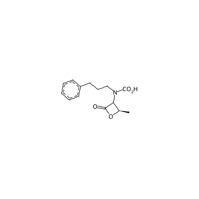 C[C@H]1OC(=O)C1N(CCCc1ccccc1)C(=O)O